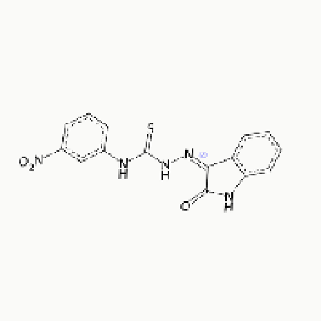 O=C1Nc2ccccc2/C1=N/NC(=S)Nc1cccc([N+](=O)[O-])c1